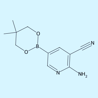 CC1(C)COB(c2cnc(N)c(C#N)c2)OC1